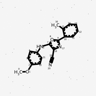 COc1ccc(Nc2oc(-c3ccccc3C)nc2C#N)cc1